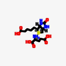 N[C@@H](CCC(=O)O)C(=O)O.O=C(O)CCCC[C@@H]1SC[C@@H]2NC(=O)N[C@@H]21